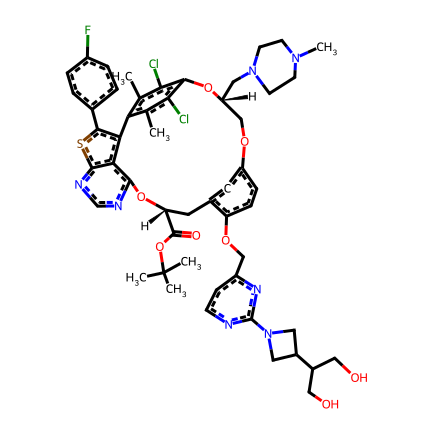 Cc1c(Cl)c2c(Cl)c(C)c1-c1c(-c3ccc(F)cc3)sc3ncnc(c13)O[C@@H](C(=O)OC(C)(C)C)Cc1cc(ccc1OCc1ccnc(N3CC(C(CO)CO)C3)n1)OC[C@@H](CN1CCN(C)CC1)O2